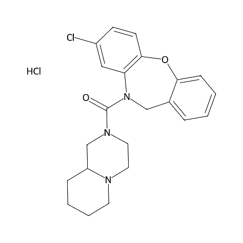 Cl.O=C(N1CCN2CCCCC2C1)N1Cc2ccccc2Oc2ccc(Cl)cc21